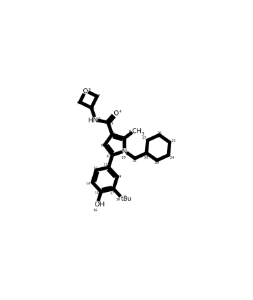 Cc1c(C(=O)NC2COC2)cc(-c2ccc(O)c(C(C)(C)C)c2)n1CC1CCCCC1